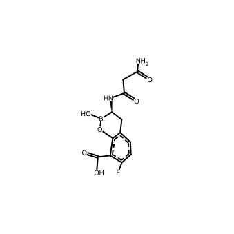 NC(=O)CC(=O)N[C@H]1Cc2ccc(F)c(C(=O)O)c2OB1O